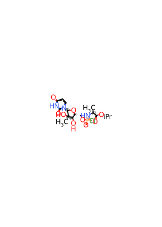 CC(C)OC(=O)[C@H](C)NP(=O)(Cl)OC[C@H]1O[C@@H](n2ccc(=O)[nH]c2=O)[C@](C)(O)[C@@H]1O